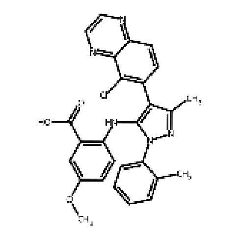 COc1ccc(Nc2c(-c3ccc4nccnc4c3Cl)c(C)nn2-c2ccccc2C)c(C(=O)O)c1